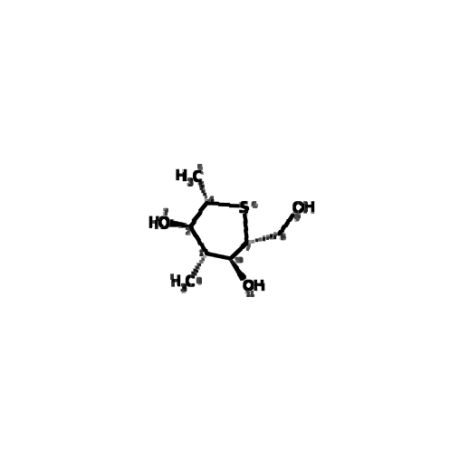 C[C@@H]1[C@@H](O)[C@H](C)S[C@H](CO)[C@H]1O